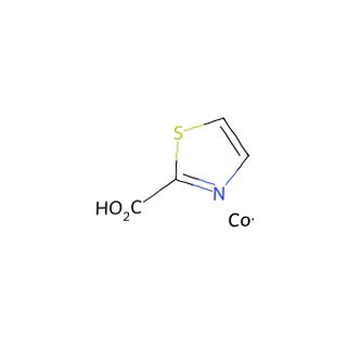 O=C(O)c1nccs1.[Co]